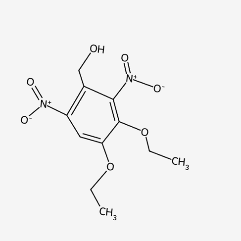 CCOc1cc([N+](=O)[O-])c(CO)c([N+](=O)[O-])c1OCC